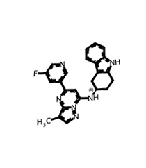 Cc1cnn2c(N[C@@H]3CCc4[nH]c5ccccc5c4C3)cc(-c3cncc(F)c3)nc12